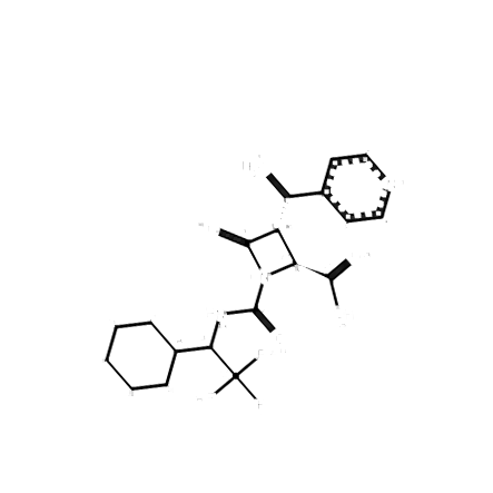 C=C(c1ccncc1)[C@H]1C(=O)N(C(=O)NC(C2CCCCC2)C(F)(F)F)[C@@H]1C(=O)O